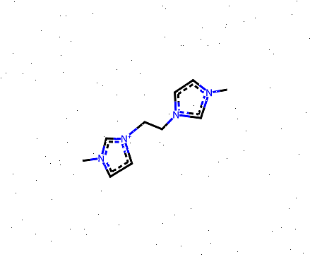 Cn1cc[n+](CC[n+]2ccn(C)c2)c1